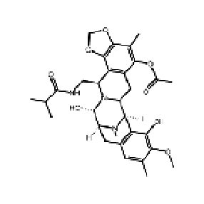 COc1c(C)cc2c(c1O)[C@@H]1C3Cc4c(OC(C)=O)c(C)c5c(c4[C@H](CNC(=O)C(C)C)N3[C@@H](O)[C@H](C2)N1C)OCO5